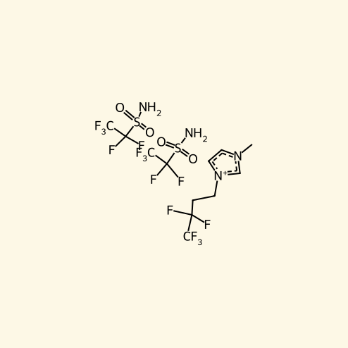 Cn1cc[n+](CCC(F)(F)C(F)(F)F)c1.NS(=O)(=O)C(F)(F)C(F)(F)F.NS(=O)(=O)C(F)(F)C(F)(F)F